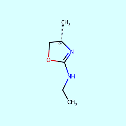 CCNC1=N[C@@H](C)CO1